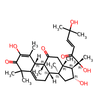 CC1=C(O)C(=O)C(C)(C)C2=CC[C@@H]3[C@@](C)(C(=O)C[C@]4(C)[C@@H]([C@@](C)(O)C(=O)C=CC(C)(C)O)[C@H](O)C[C@@]34C)[C@H]21